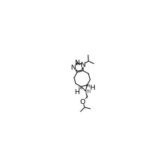 CC(C)OC[C@@H]1[C@@H]2CCc3c(nnn3C(C)C)CC[C@@H]21